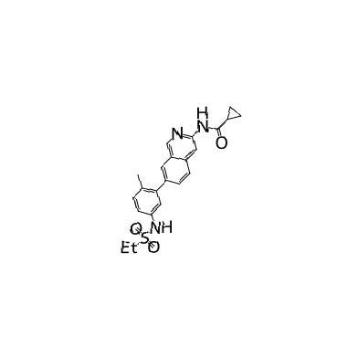 CCS(=O)(=O)Nc1ccc(C)c(-c2ccc3cc(NC(=O)C4CC4)ncc3c2)c1